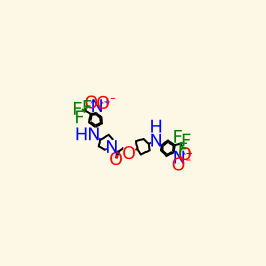 O=C(COC1CCC(Nc2ccc([N+](=O)[O-])c(C(F)(F)F)c2)CC1)N1CCC(Nc2ccc([N+](=O)[O-])c(C(F)(F)F)c2)CC1